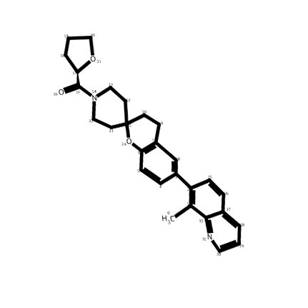 Cc1c(-c2ccc3c(c2)CCC2(CCN(C(=O)[C@H]4CCCO4)CC2)O3)ccc2cccnc12